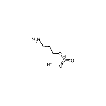 NCCCO[SH](=O)=O.[H+]